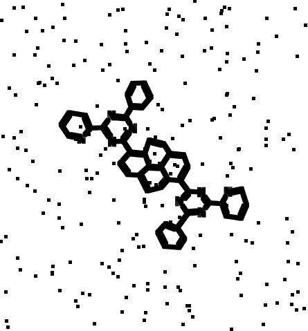 c1ccc(-c2nc(-c3ccccn3)nc(-c3ccc4ccc5c(-c6nc(-c7ccccc7)nc(-c7ccccn7)n6)ccc6ccc3c4c65)n2)cc1